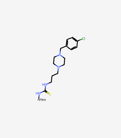 CCCCCCNC(=S)NCCCN1CCN(Cc2ccc(Cl)cc2)CC1